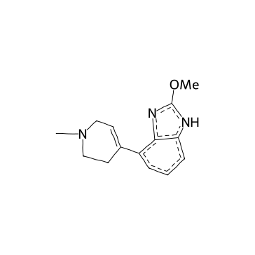 COc1nc2c(C3=CCN(C)CC3)cccc2[nH]1